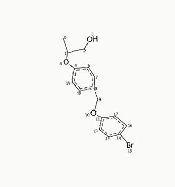 CC(CO)Oc1ccc(COc2ccc(Br)cc2)cc1